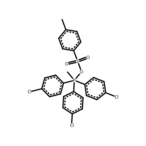 Cc1ccc(S(=O)(=O)OP(C)(c2ccc(Cl)cc2)(c2ccc(Cl)cc2)c2ccc(Cl)cc2)cc1